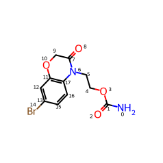 NC(=O)OCCN1C(=O)COc2cc(Br)ccc21